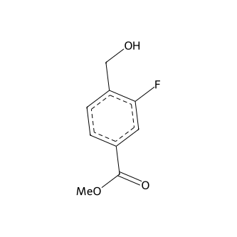 COC(=O)c1ccc(CO)c(F)c1